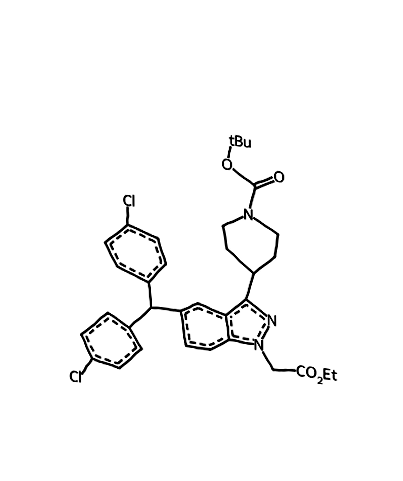 CCOC(=O)Cn1nc(C2CCN(C(=O)OC(C)(C)C)CC2)c2cc(C(c3ccc(Cl)cc3)c3ccc(Cl)cc3)ccc21